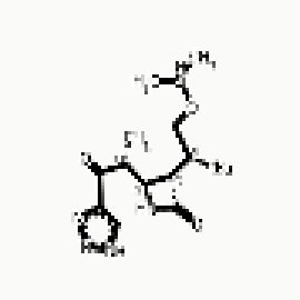 C[C@@H](C(=O)c1c[nH]nn1)[C@@H]1NC(=O)[C@H]1[C@@H](CO[SiH](C)C)C(C)(C)C